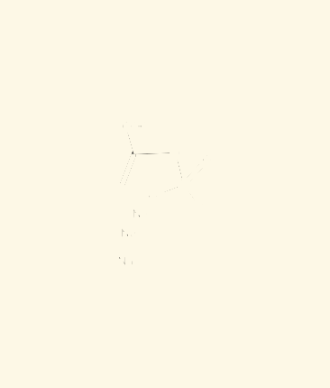 C=C(OP(=O)([O-])[O-])C(=O)[O-].[Na+].[Na+].[Na+]